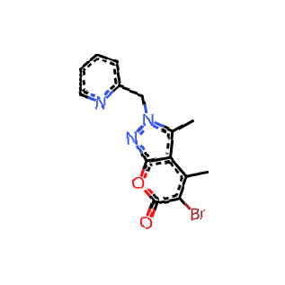 Cc1c(Br)c(=O)oc2nn(Cc3ccccn3)c(C)c12